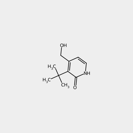 CC(C)(C)c1c(CO)cc[nH]c1=O